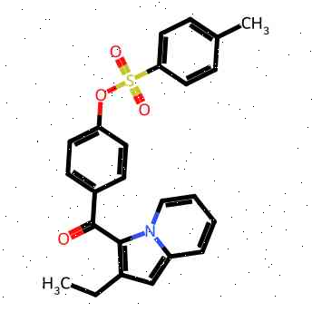 CCc1cc2ccccn2c1C(=O)c1ccc(OS(=O)(=O)c2ccc(C)cc2)cc1